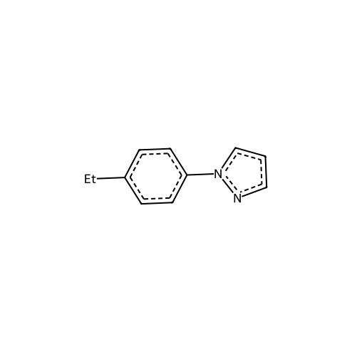 [CH2]Cc1ccc(-n2cccn2)cc1